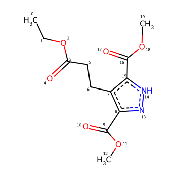 CCOC(=O)CCc1c(C(=O)OC)n[nH]c1C(=O)OC